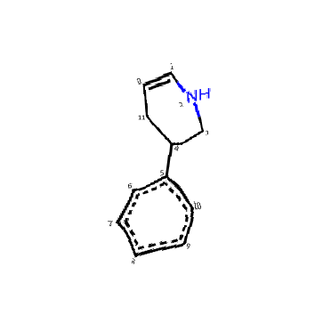 C1=CNCC(c2ccccc2)C1